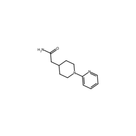 NC(=O)CC1CCN(c2ccccn2)CC1